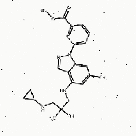 Cc1cc(NCC(O)(CNC2CC2)C(F)(F)F)c2cnn(-c3cccc(C(=O)OC(C)(C)C)c3)c2c1